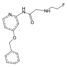 O=C(CNCCF)Nc1cc(OCc2ccccc2)ccn1